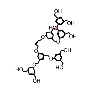 OCC1=CC(OCc2cc(COc3cc(CO)cc(CO)c3)cc(OC/C=C\COC3C=C(COc4cc(CO)cc(CO)c4)C=C(COc4cc(CO)cc(CO)c4)C3)c2)CC(CO)=C1